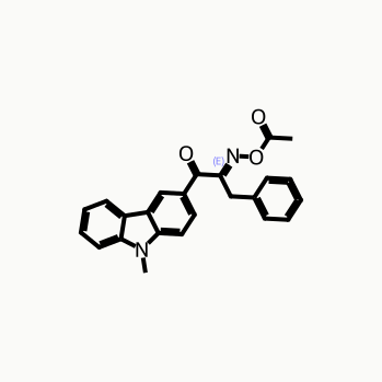 CC(=O)O/N=C(\CC1=CC=C=C=C1)C(=O)c1ccc2c(c1)c1ccccc1n2C